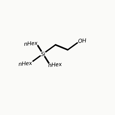 CCCCCC[Si](CCO)(CCCCCC)CCCCCC